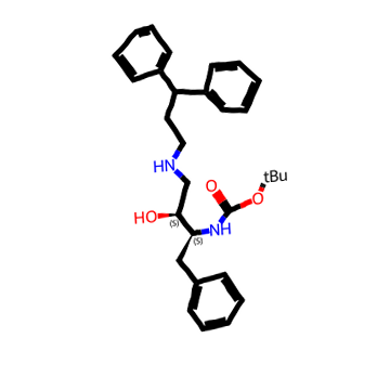 CC(C)(C)OC(=O)N[C@@H](Cc1ccccc1)[C@@H](O)CNCCC(c1ccccc1)c1ccccc1